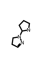 C1=NN(C2CCC[N]2)CC1